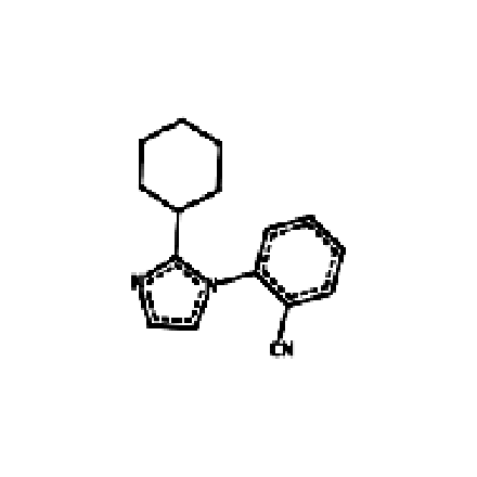 N#Cc1ccccc1-n1ccnc1C1CCCCC1